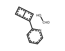 O=CO.c1ccc(-c2cc3ccc2-3)nc1